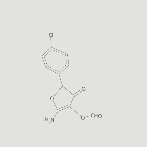 NC1=C(OC=O)C(=O)C(c2ccc(Cl)cc2)O1